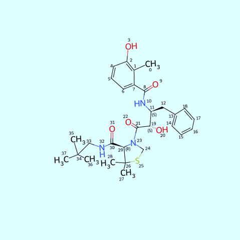 Cc1c(O)cccc1C(=O)N[C@@H](Cc1ccccc1)[C@H](O)C(=O)N1CSC(C)(C)[C@H]1C(=O)NCC(C)(C)C